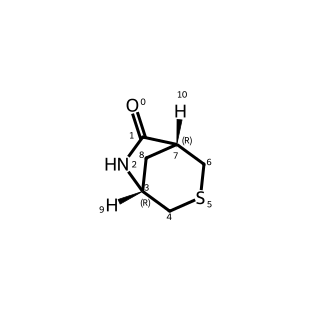 O=C1N[C@H]2CSC[C@@H]1C2